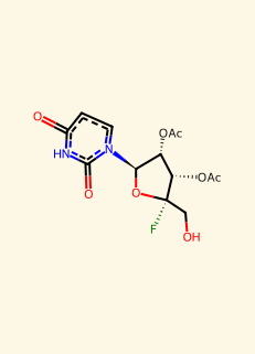 CC(=O)O[C@H]1[C@H](n2ccc(=O)[nH]c2=O)O[C@](F)(CO)[C@H]1OC(C)=O